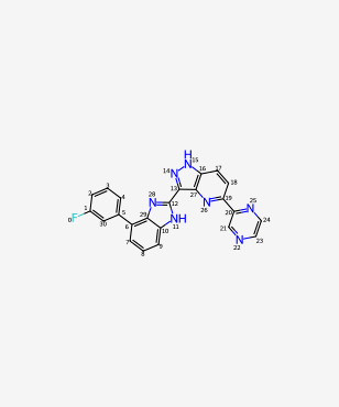 Fc1cccc(-c2cccc3[nH]c(-c4n[nH]c5ccc(-c6cnccn6)nc45)nc23)c1